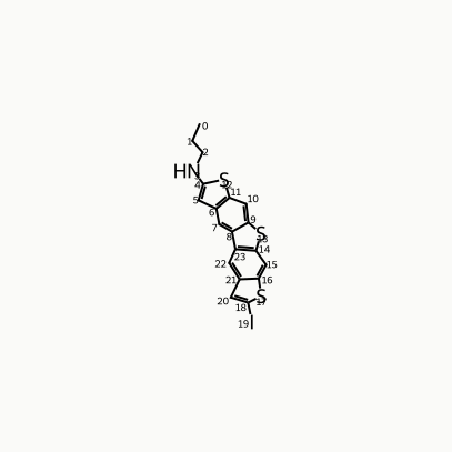 CCCNc1cc2cc3c(cc2s1)sc1cc2sc(I)cc2cc13